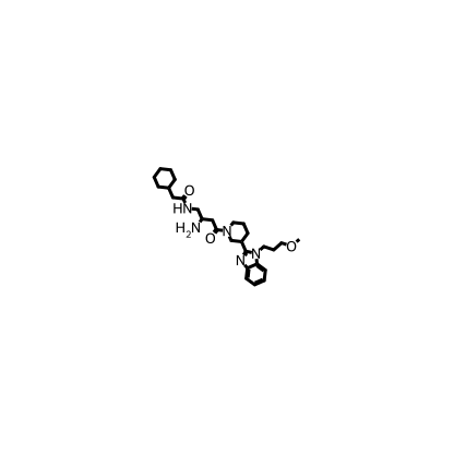 COCCCn1c(C2CCCN(C(=O)CC(N)CNC(=O)CC3CCCCC3)C2)nc2ccccc21